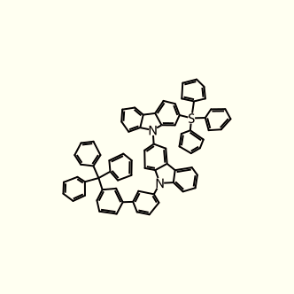 c1ccc(C(c2ccccc2)(c2ccccc2)c2cccc(-c3cccc(-n4c5ccccc5c5cc(-n6c7ccccc7c7ccc(S(c8ccccc8)(c8ccccc8)c8ccccc8)cc76)ccc54)c3)c2)cc1